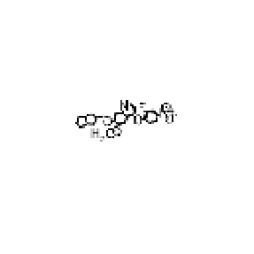 COc1cc2c(Oc3ccc([N+](=O)[O-])cc3F)ccnc2cc1OCC1CC2CCCC2C1